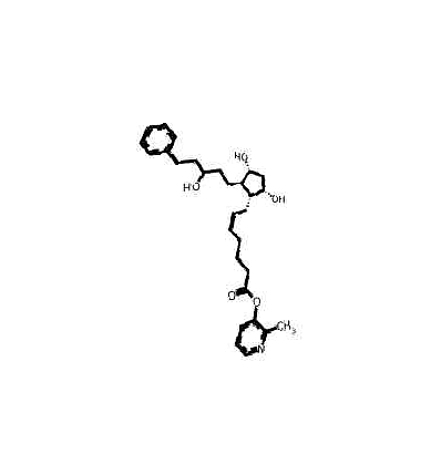 Cc1ncccc1OC(=O)CCC/C=C\C[C@@H]1[C@@H](CCC(O)CCc2ccccc2)[C@H](O)C[C@@H]1O